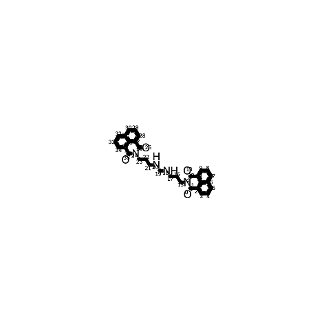 O=C1c2cccc3cccc(c23)C(=O)N1CCCNCNCCCN1C(=O)c2cccc3cccc(c23)C1=O